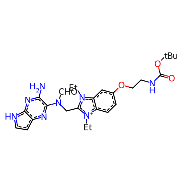 CCn1c(CN(C=O)c2nc3cc[nH]c3nc2N)[n+](CC)c2ccc(OCCNC(=O)OC(C)(C)C)cc21